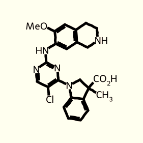 COc1cc2c(cc1Nc1ncc(Cl)c(N3CC(C)(C(=O)O)c4ccccc43)n1)CNCC2